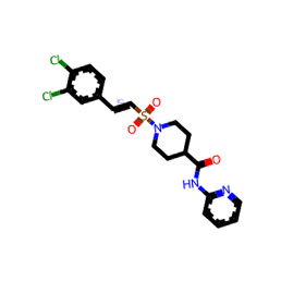 O=C(Nc1ccccn1)C1CCN(S(=O)(=O)/C=C/c2ccc(Cl)c(Cl)c2)CC1